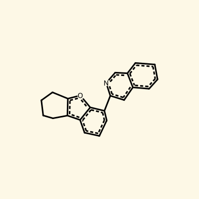 c1ccc2cc(-c3cccc4c5c(oc34)CCCC5)ncc2c1